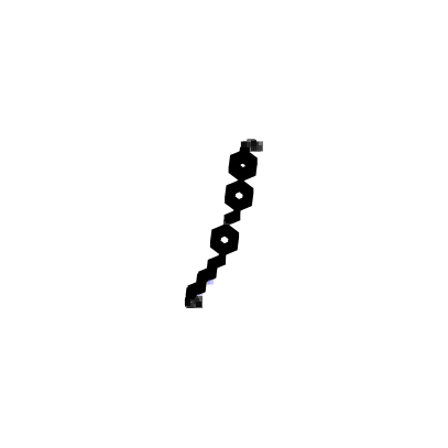 CCCCc1ccc([C@H]2CC[C@H](CC[C@H]3CC[C@H](CC/C=C/C=C/C#N)CC3)CC2)cc1